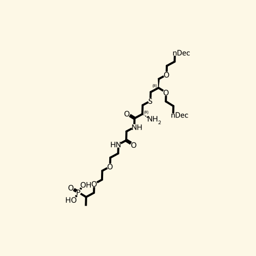 CCCCCCCCCCCCOC[C@H](CSC[C@H](N)C(=O)NCC(=O)NCCOCCOCC(C)P(=O)(O)O)OCCCCCCCCCCCC